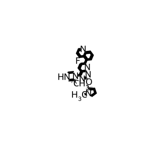 C[C@@H]1CNCCN1c1nc(OC[C@@H]2CCCN2C)nc2nc(-c3cccc4ncccc34)c(F)cc12